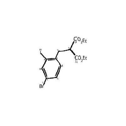 CCOC(=O)C(Cc1ccc(Br)cc1I)C(=O)OCC